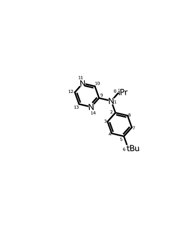 CC(C)N(c1ccc(C(C)(C)C)cc1)c1cnccn1